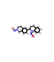 O=NN1CCc2cc(C3CCc4ccccc4N3N=O)ccc2C1